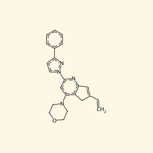 C=CC1=Cc2nc(-n3ccc(-c4ccccc4)n3)cc(N3CCOCC3)c2C1